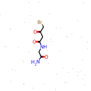 NC(=O)CNC(=O)CC(=O)CBr